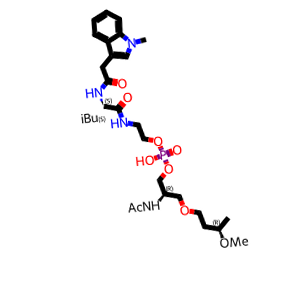 CC[C@H](C)[C@H](NC(=O)Cc1cn(C)c2ccccc12)C(=O)NCCOP(=O)(O)OC[C@@H](COCC[C@@H](C)OC)NC(C)=O